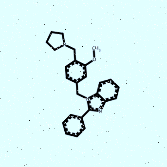 COc1cc(Cn2c(-c3ccccc3)nc3ccccc32)ccc1CN1CCCC1